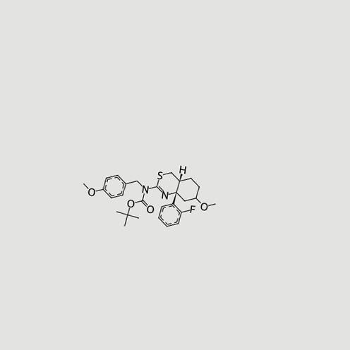 COc1ccc(CN(C(=O)OC(C)(C)C)C2=N[C@@]3(c4ccccc4F)CC(OC)CC[C@H]3CS2)cc1